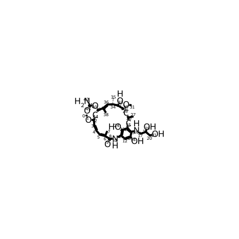 COC1/C=C\C=C(/C)C(=O)Nc2cc(O)c(NCC(O)CO)c(c2O)CC(C)CC(OC)[C@H](O)[C@@H](C)/C=C(\C)C(OC(N)=O)C1